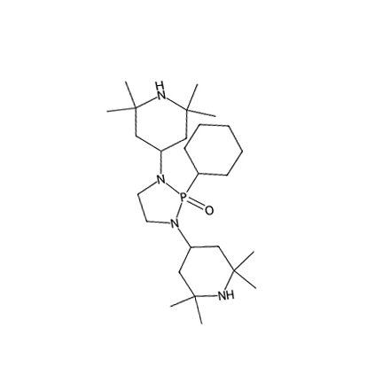 CC1(C)CC(N2CCN(C3CC(C)(C)NC(C)(C)C3)P2(=O)C2CCCCC2)CC(C)(C)N1